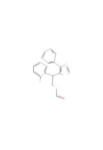 O=COCC(c1ccccc1F)c1ocnc1-c1ccccc1